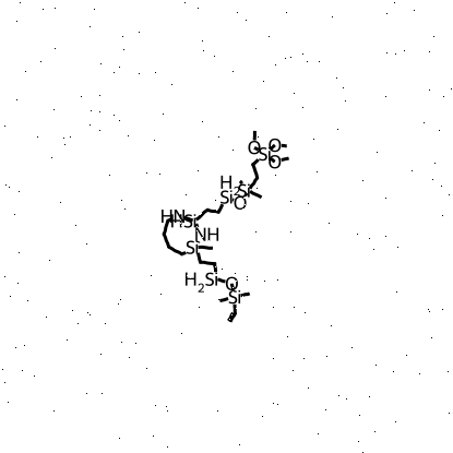 C=C[Si](C)(C)O[SiH2]CC[Si]1(C)CCCCN[SiH](CC[SiH2]O[Si](C)(C)CC[Si](OC)(OC)OC)N1